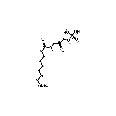 CCCCCCCCCCCCCCCCCC(=O)OCC(=O)COP(=O)(O)O